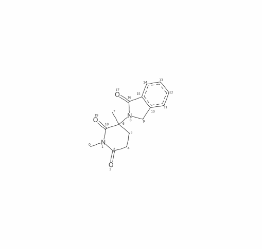 CN1C(=O)CCC(C)(N2Cc3ccccc3C2=O)C1=O